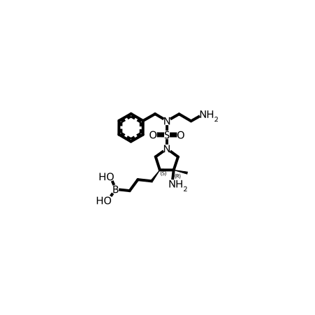 C[C@]1(N)CN(S(=O)(=O)N(CCN)Cc2ccccc2)C[C@@H]1CCCB(O)O